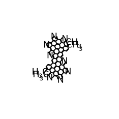 Cc1ncc2c3cncc4c5cncc6c7cnc8c9cc%10c%11ccc(C)c%12c%13c(C)ncc%14c%15cncc%16c%17cncc%18c%19cnc%20c%21cc%22c%23ccc(C)c%24c1c2c1c(c43)c(c56)c2c7c8c(c%21c9c3c%10c4c(c%11%12)c(c%14%13)c(c%16%15)c(c%17%18)c4c%19c%203)c%22c2c1c%23%24